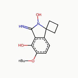 CCCCOc1ccc2c(c1O)C(=N)N(O)C21CCC1